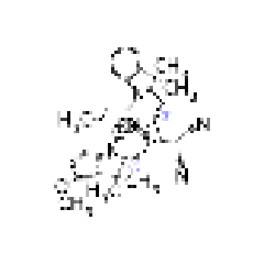 CCCC[N+]1=C(/C=C2C([O-])=C(/C=C3\N(CC)c4ccc(OC)cc4C3(C)C)C\2=C(C#N)C#N)C(C)(C)c2ccccc21